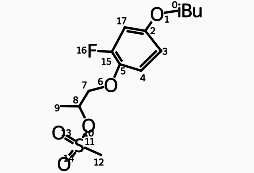 CCC(C)Oc1ccc(OCC(C)OS(C)(=O)=O)c(F)c1